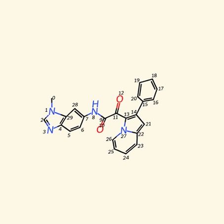 Cn1cnc2ccc(NC(=O)C(=O)c3c(-c4ccccc4)cc4ccccn34)cc21